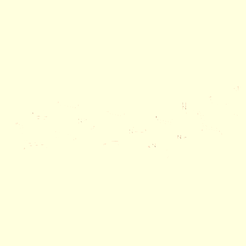 Clc1cccc(Nc2cc(N3CCC(N4CCc5ccccc5C4)CC3)ncn2)c1